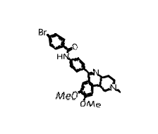 COc1cc2c(cc1OC)C1CN(C)CCC1N=C2c1ccc(NC(=O)c2ccc(Br)cc2)cc1